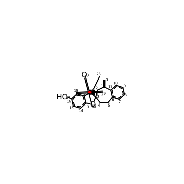 C=C1CC2(CCc3ccccc31)Oc1ccc(O)cc1C21NC(=O)N(C)C1=C